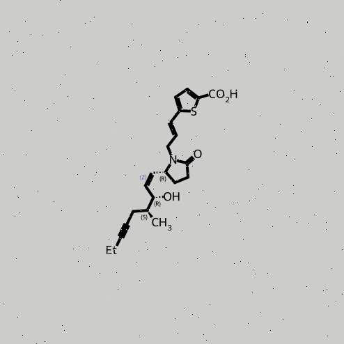 CCC#CC[C@H](C)[C@@H](O)/C=C\[C@H]1CCC(=O)N1CC=Cc1ccc(C(=O)O)s1